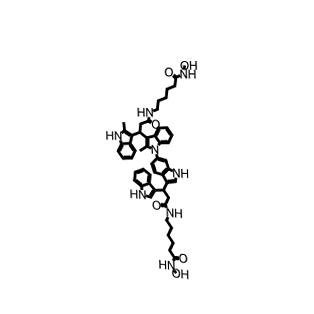 Cc1[nH]c2ccccc2c1C(CC(=O)NCCCCCC(=O)NO)c1c(C)n(-c2ccc3c(C(CC(=O)NCCCCCC(=O)NO)c4c[nH]c5ccccc45)c[nH]c3c2)c2ccccc12